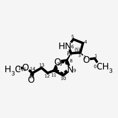 CCO[C@H]1CCN[C@@H]1c1ncc(CCC(=O)OC)o1